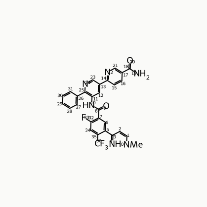 CN/C=C\C(=N)c1cc(C(=O)Nc2cc(-c3ccc(C(N)=O)cn3)cnc2-c2ccccc2)c(F)cc1C(F)(F)F